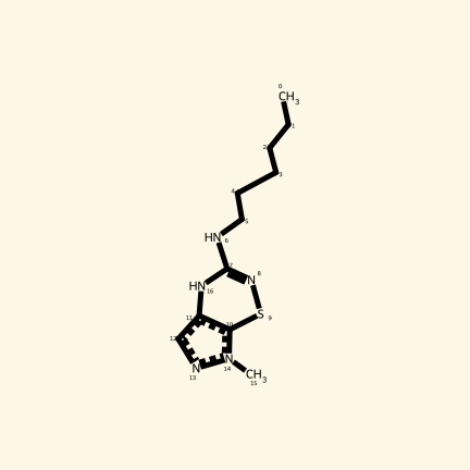 CCCCCCNC1=NSc2c(cnn2C)N1